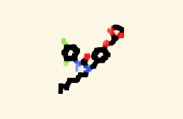 CCCCCCCN(Cc1ccc(OCC2OCCO2)cc1)C(=O)Nc1ccc(F)cc1F